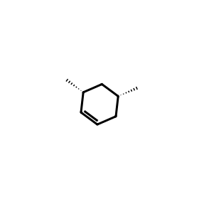 C[C@@H]1CC=C[C@H](C)C1